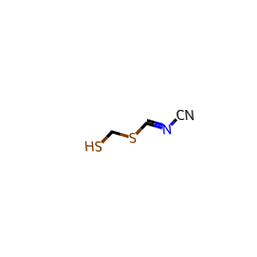 N#C/N=C/SCS